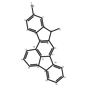 CC1c2cc(Br)ccc2-c2c1cc1c3c(cccc23)-c2ccccc2-1